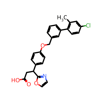 Cc1cc(Cl)ccc1-c1cccc(COc2ccc(C(CC(=O)O)c3ncco3)cc2)c1